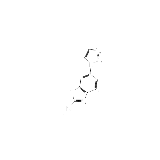 Nc1nc2ccc(-n3ccnn3)cc2s1